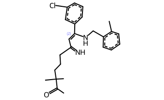 CC(=O)C(C)(C)CCCC(=N)/C=C(\NCc1ccccc1C)c1cccc(Cl)c1